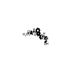 CC(C)OC1CN(C(=O)NC2CCCCc3cc(-c4ccnc(Nc5cnn(CCO)c5)n4)ccc32)C1